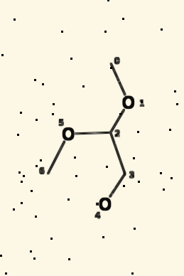 COC(C[O])OC